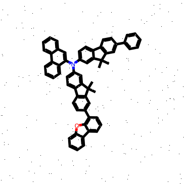 CC1(C)c2cc(-c3ccccc3)ccc2-c2ccc(N(c3ccc4c(c3)C(C)(C)c3cc(-c5cccc6c5oc5ccccc56)ccc3-4)c3cc4ccccc4c4ccccc34)cc21